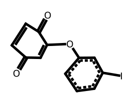 O=C1C=CC(=O)C(Oc2cccc(I)c2)=C1